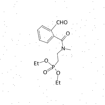 CCOP(=O)(CCN(C)C(=O)c1ccccc1C=O)OCC